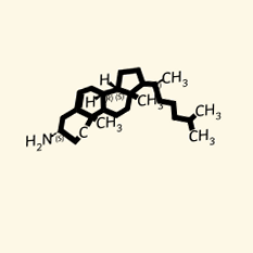 CC(C)CCC[C@@H](C)C1CC[C@H]2[C@H]3CC=C4C[C@@H](N)CCC4(C)C3CCC12C